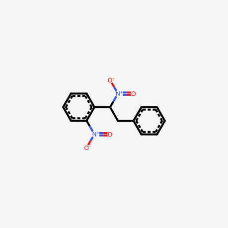 O=[N+]([O-])[C](Cc1ccccc1)c1ccccc1[N+](=O)[O-]